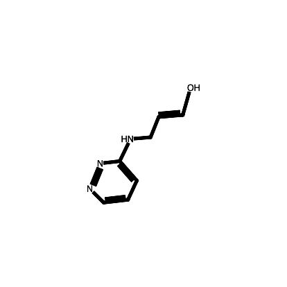 OC=CCNc1cccnn1